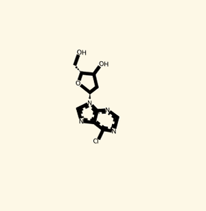 OC[C@H]1O[C@@H](n2cnc3c(Cl)ncnc32)CC1O